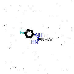 CC(=O)NC(=N)Nc1ccc(F)cc1